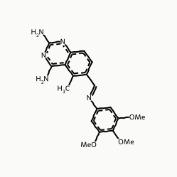 COc1cc(N=Cc2ccc3nc(N)nc(N)c3c2C)cc(OC)c1OC